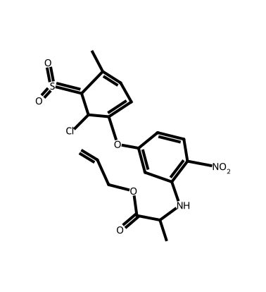 C=CCOC(=O)C(C)Nc1cc(OC2=CC=C(C)C(=S(=O)=O)C2Cl)ccc1[N+](=O)[O-]